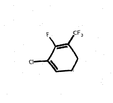 FC1=C(C(F)(F)F)C[C]C=C1Cl